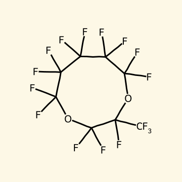 FC(F)(F)C1(F)OC(F)(F)C(F)(F)C(F)(F)C(F)(F)C(F)(F)OC1(F)F